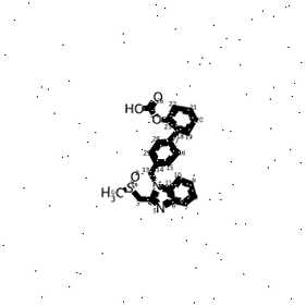 C[S+]([O-])Cc1nc2ccccc2n1Cc1ccc(-c2ccccc2OC(=O)O)cc1